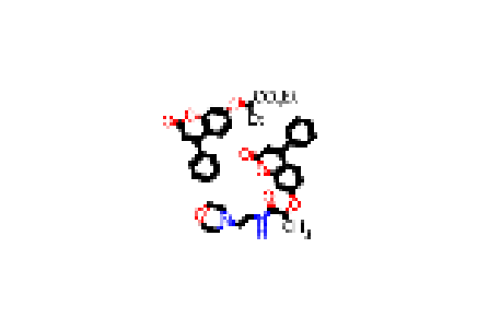 CC(Oc1ccc2c(-c3ccccc3)cc(=O)oc2c1)C(=O)NCCN1CCOCC1.CCOC(=O)C(CC)Oc1ccc2c(-c3ccccc3)cc(=O)oc2c1